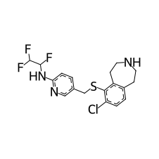 FC(F)C(F)Nc1ccc(CSc2c(Cl)ccc3c2CCNCC3)cn1